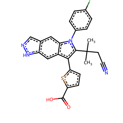 CC(C)(CC#N)c1c(-c2ccc(C(=O)O)s2)c2cc3[nH]ncc3cc2n1-c1ccc(F)cc1